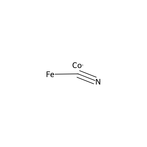 N#[C][Fe].[Co]